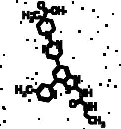 CCNC(=O)Nc1nc2cc(-c3cnc(N4CCC(C)(C(=O)O)CC4)nc3)cc(-c3cc(C)ccn3)c2s1